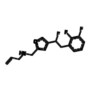 C=CCNCc1cc(C(F)Cc2cccc(F)c2F)co1